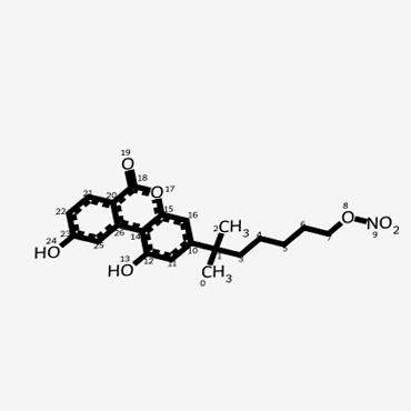 CC(C)(CCCCCO[N+](=O)[O-])c1cc(O)c2c(c1)oc(=O)c1ccc(O)cc12